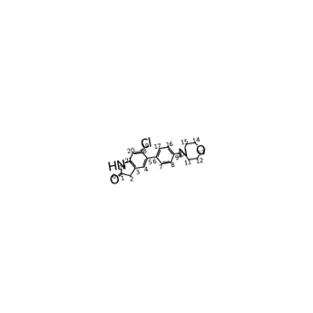 O=C1Cc2cc(-c3ccc(N4CCOCC4)cc3)c(Cl)cc2N1